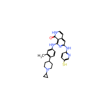 Cc1cc(Nc2nc(Nc3ccc(S)cn3)cc3cc[nH]c(=O)c23)ccc1C1CCN(C2CC2)CC1